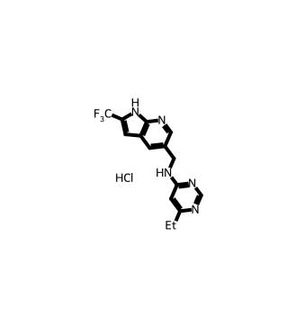 CCc1cc(NCc2cnc3[nH]c(C(F)(F)F)cc3c2)ncn1.Cl